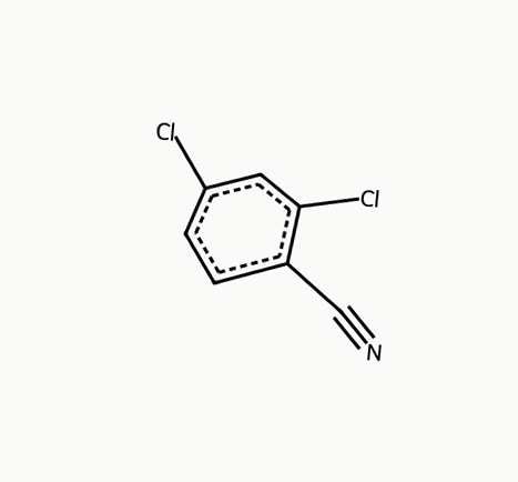 N#Cc1ccc(Cl)cc1Cl